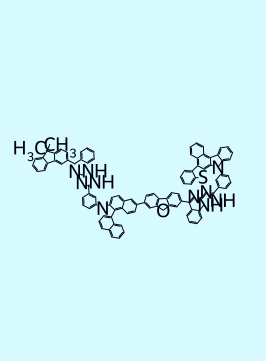 CC1(C)c2ccccc2-c2cc(-c3n/c(=N/C(=N)c4cccc(-n5c6ccc7ccccc7c6c6c7ccc(-c8ccc9c(c8)oc8cc(-c%10n/c(=N/C(=N)c%11cccc(-n%12c%13ccccc%13c%13c%14ccccc%14c%14c%15ccccc%15sc%14c%13%12)c%11)[nH]c%11ccccc%10%11)ccc89)cc7ccc65)c4)[nH]c4ccccc34)ccc21